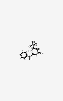 O=C1C=C(Nc2ccccc2)NC(S(=O)(=O)O)N1